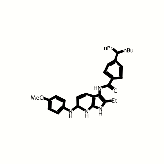 CCCCC(CCC)c1ccc(C(=O)Nc2c(CC)[nH]c3c2C=CC(Nc2ccc(OC)cc2)N3)cc1